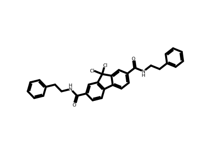 O=C(NCCc1ccccc1)c1ccc2c(c1)C(Cl)(Cl)c1cc(C(=O)NCCc3ccccc3)ccc1-2